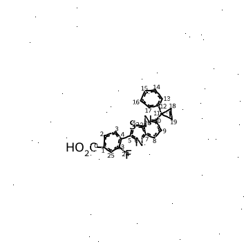 O=C(O)c1ccc(-c2nc3ccc(C4(c5ccccc5)C=C4)nc3s2)c(F)c1